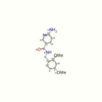 COc1ccc(CNC(=O)c2ccc(N)nc2)c(OC)c1